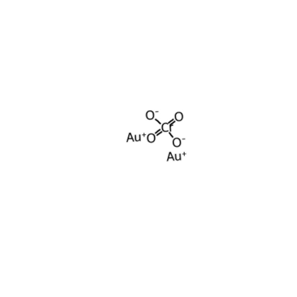 [Au+].[Au+].[O]=[Cr](=[O])([O-])[O-]